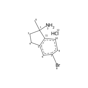 CC1(N)CCc2cc(Br)ccc21.Cl